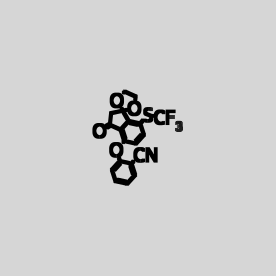 N#Cc1ccccc1Oc1ccc(SC(F)(F)F)c2c1C(=O)CC21OCCO1